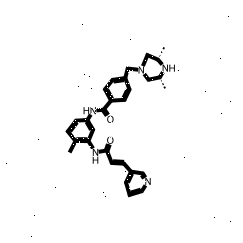 Cc1ccc(NC(=O)c2ccc(CN3C[C@@H](C)N[C@@H](C)C3)cc2)cc1NC(=O)C=Cc1cccnc1